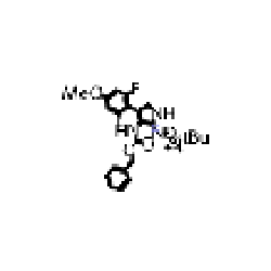 COc1cc(F)c(C2CN/C(=N\O[Si](C)(C)C(C)(C)C)C2NC(=O)OCc2ccccc2)c(F)c1